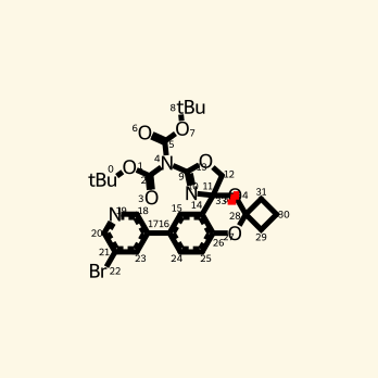 CC(C)(C)OC(=O)N(C(=O)OC(C)(C)C)C1=NC2(CO1)c1cc(-c3cncc(Br)c3)ccc1OC1(CCC1)C21COC1